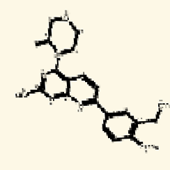 COc1ccc(-c2ccc3c(N4CCOCC4C)nc(C(C)(C)C)nc3n2)cc1CO